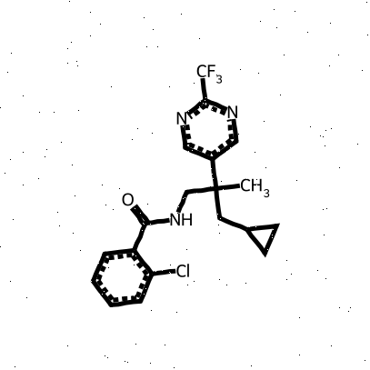 CC(CNC(=O)c1ccccc1Cl)(CC1CC1)c1cnc(C(F)(F)F)nc1